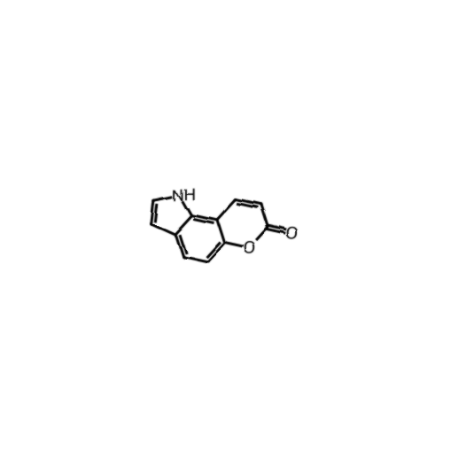 O=c1ccc2c(ccc3cc[nH]c32)o1